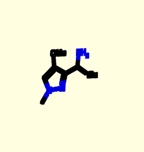 COc1cn(C)nc1C(N)C(C)(C)C